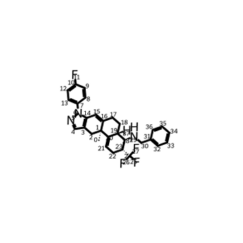 C[C@]12Cc3cnn(-c4ccc(F)cc4)c3C=C1CC[C@H]1C2=CC[C@@H](C(F)(F)F)[C@@H]1NCc1ccccc1